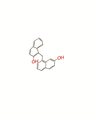 Oc1ccc2cccc(Cc3c(O)ccc4ccccc34)c2c1